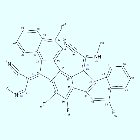 C/N=C\C(C#N)=C1/c2c(F)c(F)c3c(c2-c2cc(F)c4ccccc4c21)/C(=C(\C#N)NC)c1c-3cc(F)c2ccccc12